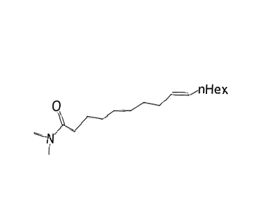 CCCCCCC=CCCCCCCCC(=O)N(C)C